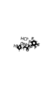 Cl.N[C@@H](C[C@@H]1CCNC1=O)C(=O)COc1c(F)c(F)cc(F)c1F